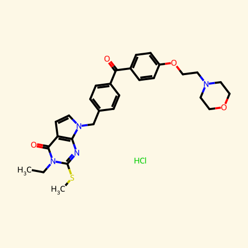 CCn1c(SC)nc2c(ccn2Cc2ccc(C(=O)c3ccc(OCCN4CCOCC4)cc3)cc2)c1=O.Cl